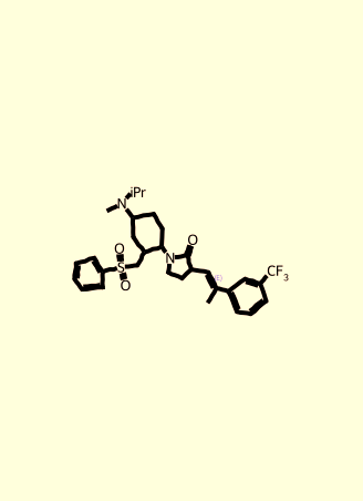 C/C(=C\C1CCN(C2CCC(N(C)C(C)C)CC2CS(=O)(=O)c2ccccc2)C1=O)c1cccc(C(F)(F)F)c1